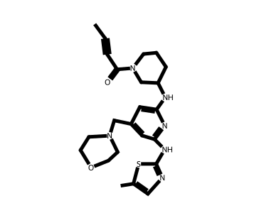 CC#CC(=O)N1CCCC(Nc2cc(CN3CCOCC3)cc(Nc3ncc(C)s3)n2)C1